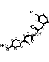 Cc1cccc(CC(=O)Nc2ccc(N3CCC(CC#N)CC3)nn2)c1